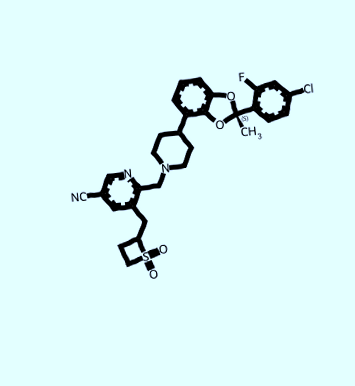 C[C@]1(c2ccc(Cl)cc2F)Oc2cccc(C3CCN(Cc4ncc(C#N)cc4CC4CCS4(=O)=O)CC3)c2O1